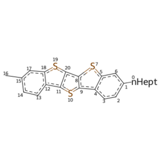 CCCCCCCc1ccc2c(c1)sc1c2sc2c3ccc(C)cc3sc21